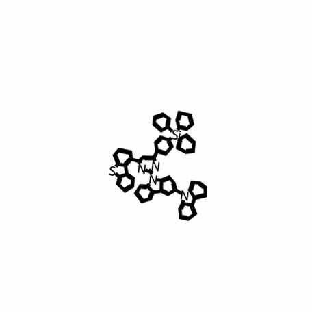 c1ccc([Si](c2ccccc2)(c2ccccc2)c2ccc(-c3cc(-c4cccc5sc6ccccc6c45)nc(-n4c5ccccc5c5cc(-n6c7ccccc7c7ccccc76)ccc54)n3)cc2)cc1